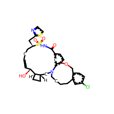 O=C1NS(=O)(=O)[C@H](Cc2nccs2)CC/C=C\[C@H](O)[C@@H]2CC[C@H]2CN2CCCCc3cc(Cl)ccc3COc3ccc1cc32